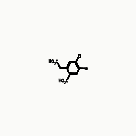 O=C(O)Cc1cc(Cl)c(Br)cc1C(=O)O